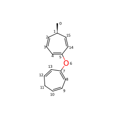 C[C@@H]1C=CC=C(OC2=CC=CCC=C2)C=C1